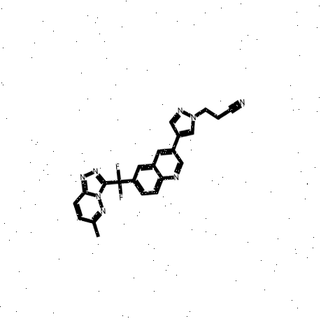 Cc1ccc2nnc(C(F)(F)c3ccc4ncc(-c5cnn(CCC#N)c5)cc4c3)n2n1